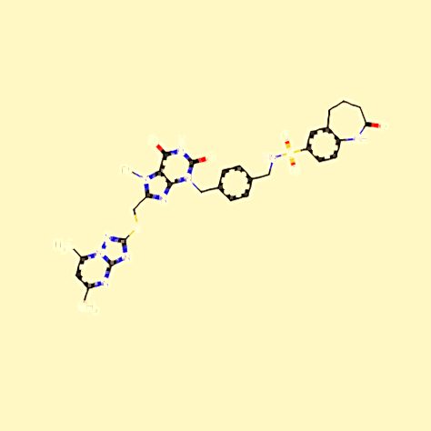 CCn1c(CSc2nc3nc(C)cc(C)n3n2)nc2c1c(=O)[nH]c(=O)n2Cc1ccc(CNS(=O)(=O)c2ccc3c(c2)CCCC(=O)N3)cc1